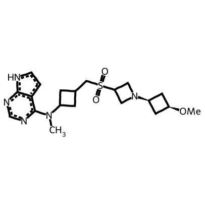 CO[C@H]1C[C@@H](N2CC(S(=O)(=O)CC3CC(N(C)c4ncnc5[nH]ccc45)C3)C2)C1